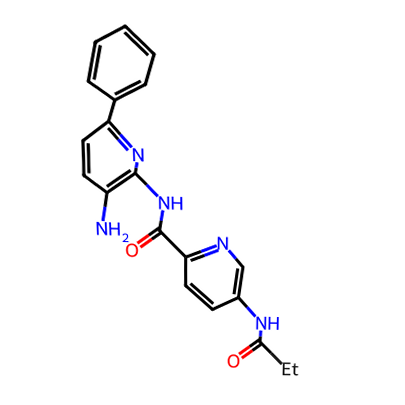 CCC(=O)Nc1ccc(C(=O)Nc2nc(-c3ccccc3)ccc2N)nc1